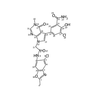 Cc1nc2cc(Cl)c(NC(=O)Cn3cc(-c4cc(Cl)c(O)c(C(N)=O)c4)c4c(=O)n(C)cnc43)cc2o1